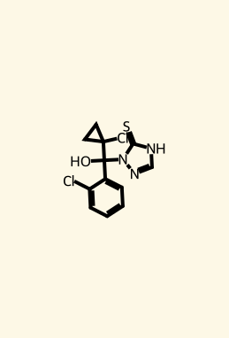 OC(c1ccccc1Cl)(n1nc[nH]c1=S)C1(Cl)CC1